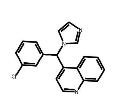 Clc1cccc(C(c2ccnc3ccccc23)n2ccnc2)c1